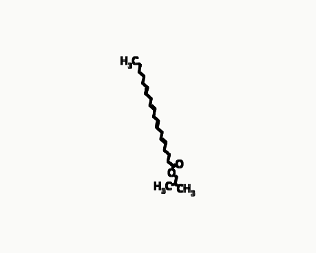 CCCCCC=CCC=CCC=CCC=CCCCC(=O)OCC(C)C